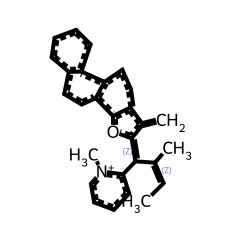 C=c1/c(=C(\C(C)=C/C)c2cccc[n+]2C)oc2c1ccc1c3ccccc3ccc12